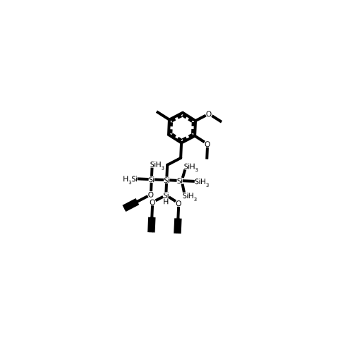 C#CO[SiH](OC#C)[Si](CCc1cc(C)cc(OC)c1OC)([Si]([SiH3])([SiH3])[SiH3])[Si]([SiH3])([SiH3])OC#C